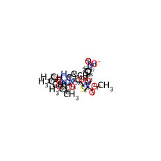 CCOC(=O)c1csc(C(CC(C(C)C)N(C)C(=O)C(NC(=O)OC(C)(C)C)C(C)CC)OC(=O)c2ccc([N+](=O)[O-])cc2)n1